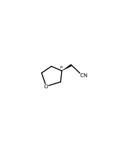 N#CC[C@@H]1CCOC1